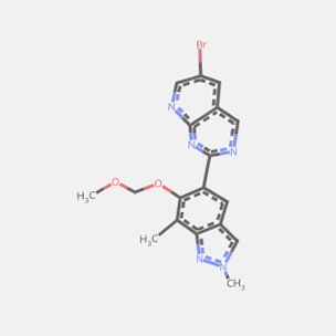 COCOc1c(-c2ncc3cc(Br)cnc3n2)cc2cn(C)nc2c1C